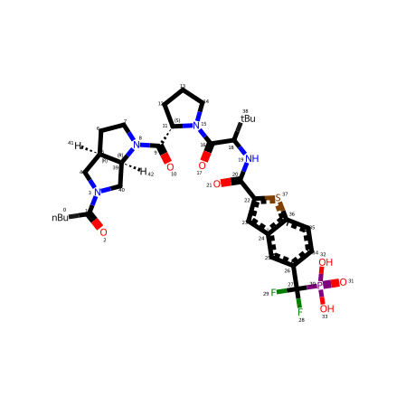 CCCCC(=O)N1C[C@H]2CCN(C(=O)[C@@H]3CCCN3C(=O)C(NC(=O)c3cc4cc(C(F)(F)P(=O)(O)O)ccc4s3)C(C)(C)C)[C@H]2C1